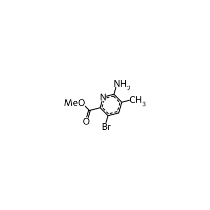 COC(=O)c1nc(N)c(C)cc1Br